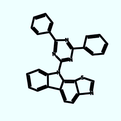 c1ccc(-c2nc(-c3ccccc3)nc(-n3c4ccccc4c4ccc5ncsc5c43)n2)cc1